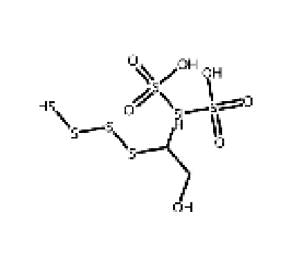 O=S(=O)(O)[SiH](C(CO)SSSS)S(=O)(=O)O